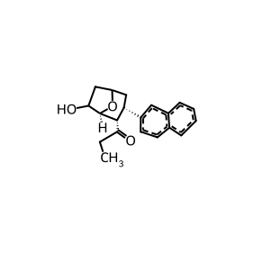 CCC(=O)[C@H]1[C@@H](c2ccc3ccccc3c2)CC2CC(O)[C@H]1O2